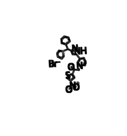 O=C(C[n+]1cccc(-c2cc(C(c3ccccc3)c3ccccc3)n[nH]2)c1)c1cc([N+](=O)[O-])cs1.[Br-]